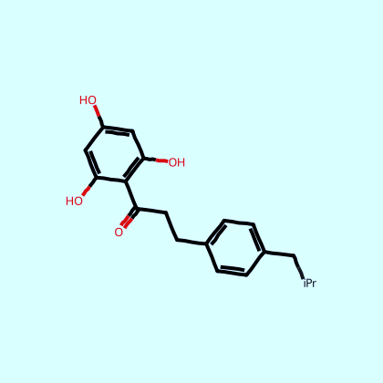 CC(C)Cc1ccc(CCC(=O)c2c(O)cc(O)cc2O)cc1